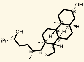 CC(C)[C@H](O)CC[C@@H](C)[C@H]1CC[C@H]2[C@@H]3CC[C@@H]4C[C@@H](O)CC[C@]4(C)[C@H]3CC[C@]12C